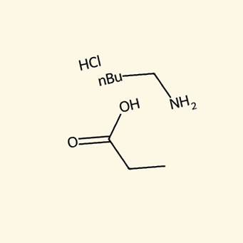 CCC(=O)O.CCCCCN.Cl